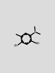 Cc1cc(N(C)C)c(C(C)C)cc1C(C)C